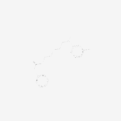 CCN(CCOCCOC(=O)Oc1ccccc1)c1cccc(C)c1